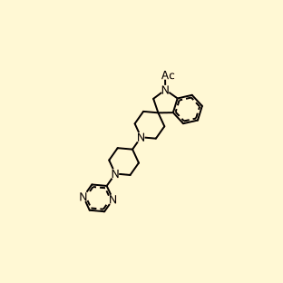 CC(=O)N1CC2(CCN(C3CCN(c4cnccn4)CC3)CC2)c2ccccc21